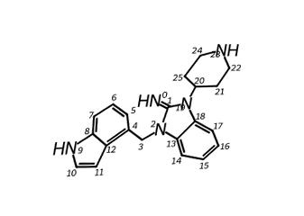 N=c1n(Cc2cccc3[nH]ccc23)c2ccccc2n1C1CCNCC1